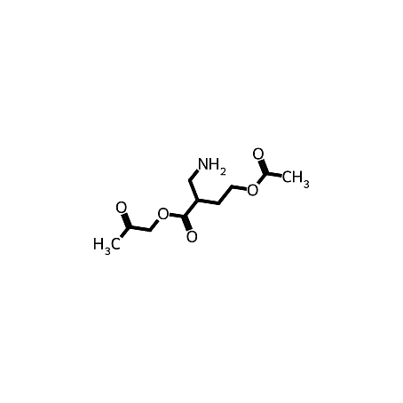 CC(=O)COC(=O)C(CN)CCOC(C)=O